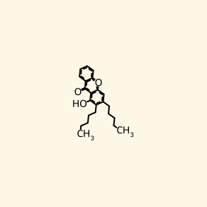 CCCCCc1cc2oc3ccccc3c(=O)c2c(O)c1CCCCC